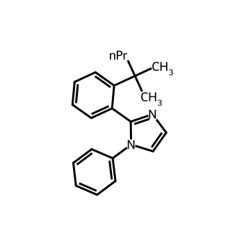 CCCC(C)(C)c1ccccc1-c1nccn1-c1ccccc1